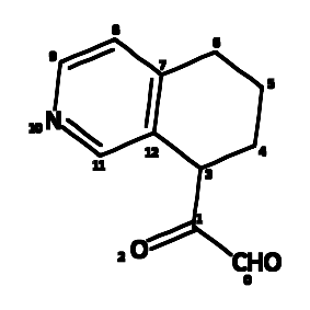 O=CC(=O)C1CCCc2ccncc21